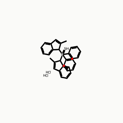 CC1=Cc2ccccc2[CH]1[Ti](=[SiH2])([c]1ccccc1)([c]1ccccc1)[CH]1C(C)=Cc2ccccc21.Cl.Cl